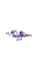 CCCOc1cccc(-c2ccnc(Nc3cc(CN(C)CC)cc(NC(=O)CC4CN(C(=O)/C=C/CN(C)C)C4)c3)n2)c1